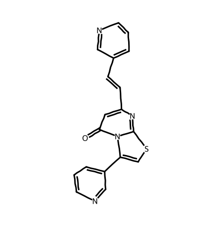 O=c1cc(/C=C/c2cccnc2)nc2scc(-c3cccnc3)n12